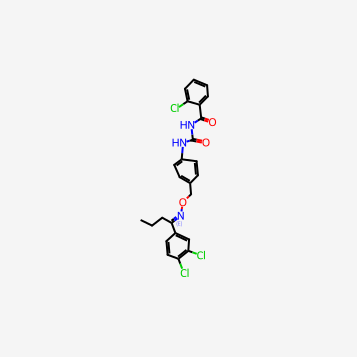 CCC/C(=N\OCc1ccc(NC(=O)NC(=O)c2ccccc2Cl)cc1)c1ccc(Cl)c(Cl)c1